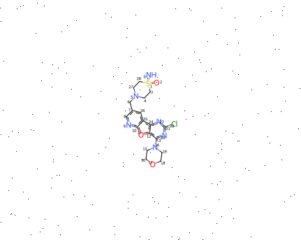 N=S1(=O)CCN(Cc2cnc3oc4c(N5CCOCC5)nc(Cl)nc4c3c2)CC1